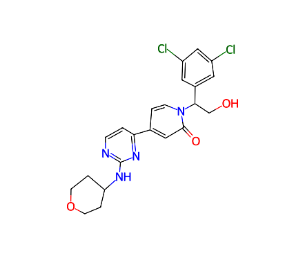 O=c1cc(-c2ccnc(NC3CCOCC3)n2)ccn1C(CO)c1cc(Cl)cc(Cl)c1